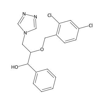 OC(c1ccccc1)C(Cn1cnnc1)OCc1ccc(Cl)cc1Cl